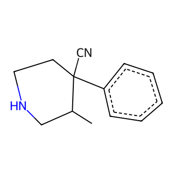 CC1CNCCC1(C#N)c1ccccc1